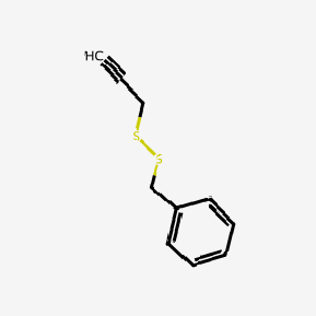 C#CCSSCc1[c]cccc1